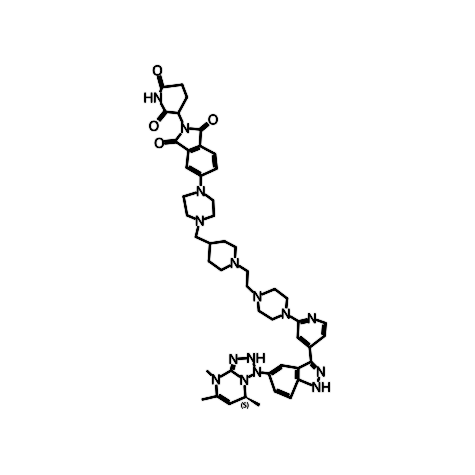 CC1=C[C@H](C)N2C(=NNN2c2ccc3[nH]nc(-c4ccnc(N5CCN(CCN6CCC(CN7CCN(c8ccc9c(c8)C(=O)N(C8CCC(=O)NC8=O)C9=O)CC7)CC6)CC5)c4)c3c2)N1C